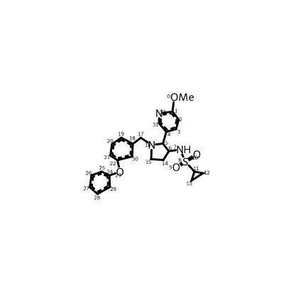 COc1ccc(C2C(NS(=O)(=O)C3CC3)CCN2Cc2cccc(Oc3ccccc3)c2)cn1